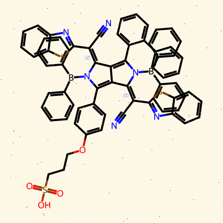 N#C/C(c1nc2ccccc2s1)=c1\c2c(-c3ccccc3-c3ccccc3)n(B(c3ccccc3)c3ccccc3)/c(=C(/C#N)c3nc4ccccc4s3)c2c(-c2ccc(OCCCS(=O)(=O)O)cc2)n1B(c1ccccc1)c1ccccc1